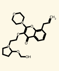 C=CCc1cccc2c(=O)c(OCCN3CCCC3OCO)c(N3CCOCC3)oc12